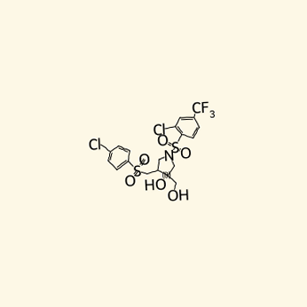 O=S(=O)(CC1CN(S(=O)(=O)c2ccc(C(F)(F)F)cc2Cl)C[C@@]1(O)CO)c1ccc(Cl)cc1